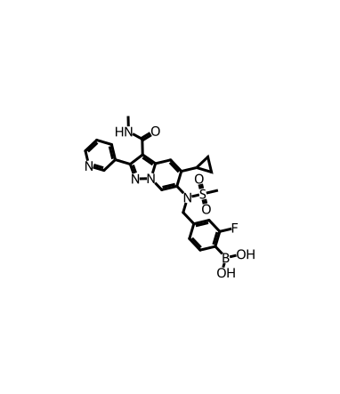 CNC(=O)c1c(-c2cccnc2)nn2cc(N(Cc3ccc(B(O)O)c(F)c3)S(C)(=O)=O)c(C3CC3)cc12